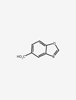 O=C(O)c1ccc2ocbc2c1